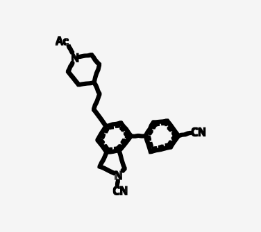 CC(=O)N1CCC(CCc2cc3c(c(-c4ccc(C#N)cc4)c2)CN(C#N)C3)CC1